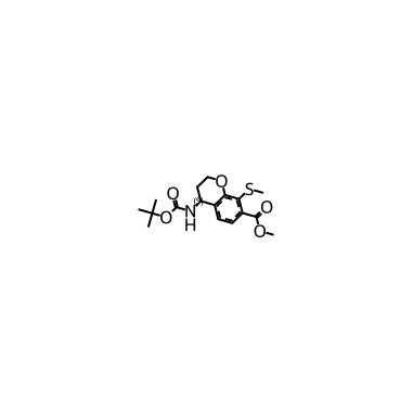 COC(=O)c1ccc2c(c1SC)OCC[C@@H]2NC(=O)OC(C)(C)C